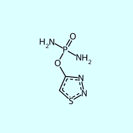 NP(N)(=O)Oc1csnn1